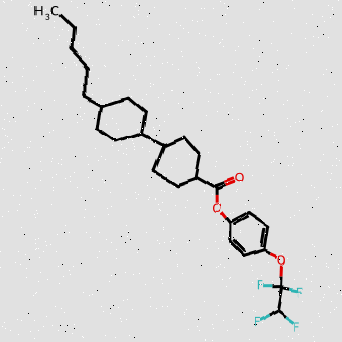 CCCCCC1CCC(C2CCC(C(=O)Oc3ccc(OC(F)(F)C(F)F)cc3)CC2)CC1